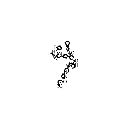 CC(C)n1cnc2cc(-c3ccc4c(c3)N(C3CC(N5CCCCC5)C3)C(=O)C43CCN(C(=O)[C@@H]4[C@H]5CCN(C(=O)C6CCN(c7ccc([C@H]8CCC(=O)NC8=O)cn7)CC6)[C@H]54)CC3)nc(Nc3ccccc3F)c21